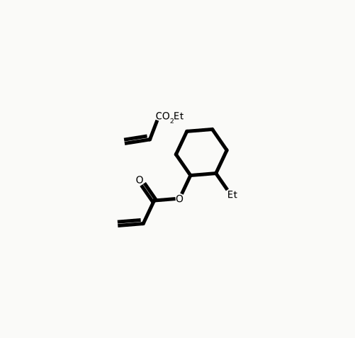 C=CC(=O)OC1CCCCC1CC.C=CC(=O)OCC